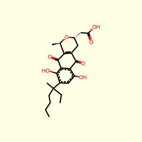 CCCCC(C)(CC)c1cc(O)c2c(c1O)C(=O)C1=C(C[C@@H](CC(=O)O)O[C@@H]1C)C2=O